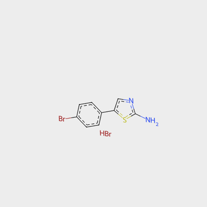 Br.Nc1ncc(-c2ccc(Br)cc2)s1